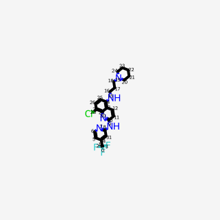 FC(F)(F)c1ccnc(Nc2ccc3c(NCCCN4CCCCC4)ccc(Cl)c3n2)c1